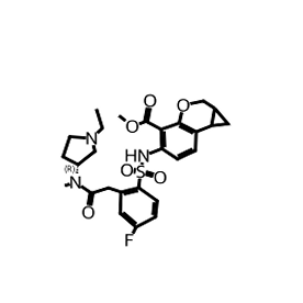 CCN1CC[C@@H](N(C)C(=O)Cc2cc(F)ccc2S(=O)(=O)Nc2ccc3c(c2C(=O)OC)OCC2CC32)C1